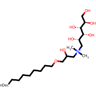 CCCCCCCCCCCCCCCCCCOCC(O)C[N+](C)(C)C[C@H](O)[C@@H](O)[C@H](O)[C@H](O)CO